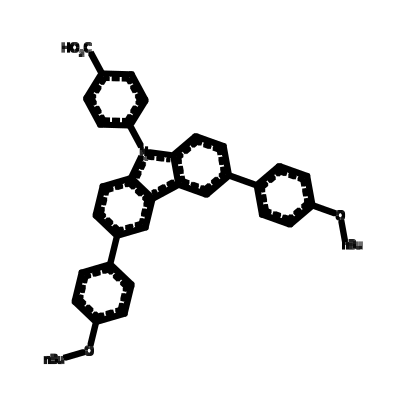 CCCCOc1ccc(-c2ccc3c(c2)c2cc(-c4ccc(OCCCC)cc4)ccc2n3-c2ccc(C(=O)O)cc2)cc1